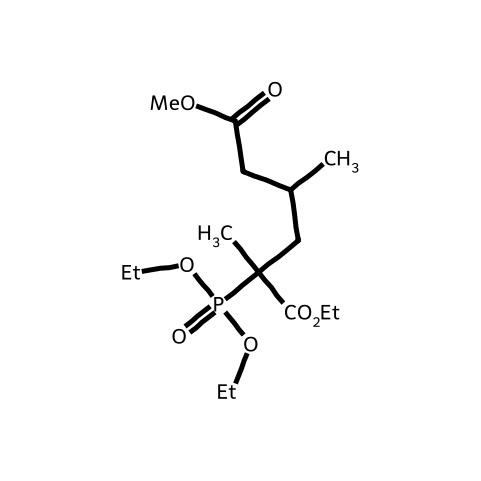 CCOC(=O)C(C)(CC(C)CC(=O)OC)P(=O)(OCC)OCC